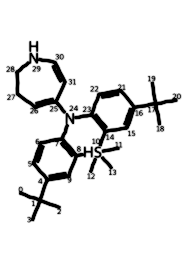 CC(C)(C)c1ccc2c(c1)[SH](C)(C)(C)c1cc(C(C)(C)C)ccc1N2C1=CCCNC=C1